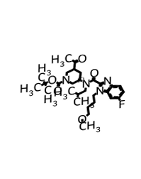 COCCCCn1c(C(=O)N(CC(C)C)[C@H]2CC(C(C)=O)CN(C(=O)OC(C)(C)C)C2)nc2ccc(F)cc21